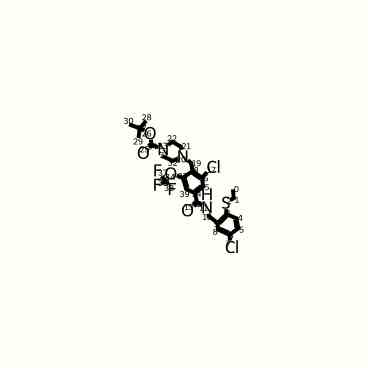 CCSc1ccc(Cl)cc1CNC(=O)c1cc(Cl)c(CN2CCN(C(=O)OC(C)(C)C)CC2)c(OC(F)(F)F)c1